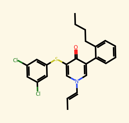 CC=Cn1cc(Sc2cc(Cl)cc(Cl)c2)c(=O)c(-c2ccccc2CCCC)c1